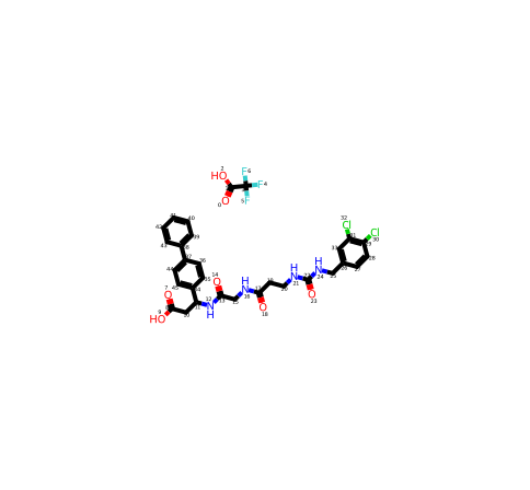 O=C(O)C(F)(F)F.O=C(O)CC(NC(=O)CNC(=O)CCNC(=O)NCc1ccc(Cl)c(Cl)c1)c1ccc(-c2ccccc2)cc1